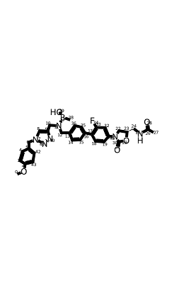 COc1ccc(Cn2cc(CN(Cc3ccc(-c4ccc(N5C[C@H](CNC(C)=O)OC5=O)cc4F)cc3)B(C)O)nn2)cc1